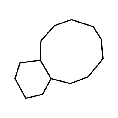 C1CCCCC2CCCCC2CCC1